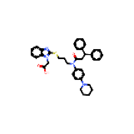 O=C(O)Cn1c(SCCCN(C(=O)CC(c2ccccc2)c2ccccc2)c2ccc(N3CCCCC3)cc2)nc2ccccc21